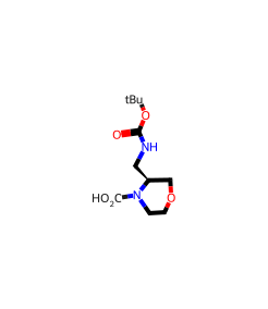 CC(C)(C)OC(=O)NC[C@H]1COCCN1C(=O)O